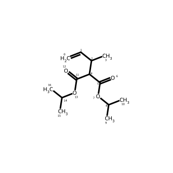 C=CC(C)C(C(=O)OC(C)C)C(=O)OC(C)C